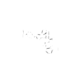 O=C1CC(c2ccc(N3CCC(F)(F)CC3)cc2)(c2ccsc2)NC(=O)C1Sc1ccccc1Cl